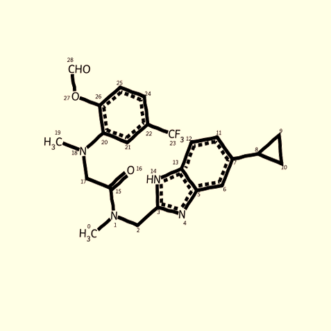 CN(Cc1nc2cc(C3CC3)ccc2[nH]1)C(=O)CN(C)c1cc(C(F)(F)F)ccc1OC=O